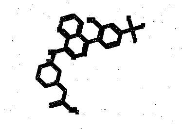 NC(=O)CN1CCC[C@@H](Nc2nnc(-c3ccc(C(F)(F)F)cc3O)c3cccnc23)C1